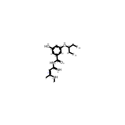 CN/C(C)=C\C(=N)NC(=O)c1cc(O)cc(OC(CF)CF)c1